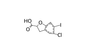 O=C(O)C1Cc2cc(Cl)c(I)cc2O1